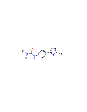 CCN(CC)C(=O)Nc1ccc(-c2ccn(CC)n2)cc1